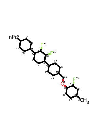 CCCC1CCC(C2CCC(C3CCC(COC4CCC(C)CC4F)CC3)C(F)C2F)CC1